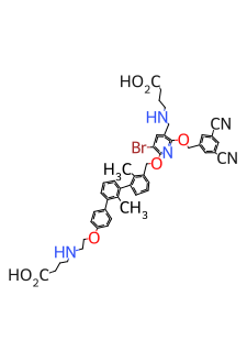 Cc1c(COc2nc(OCc3cc(C#N)cc(C#N)c3)c(CNCCCC(=O)O)cc2Br)cccc1-c1cccc(-c2ccc(OCCNCCCC(=O)O)cc2)c1C